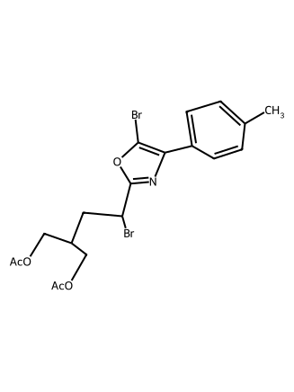 CC(=O)OCC(COC(C)=O)CC(Br)c1nc(-c2ccc(C)cc2)c(Br)o1